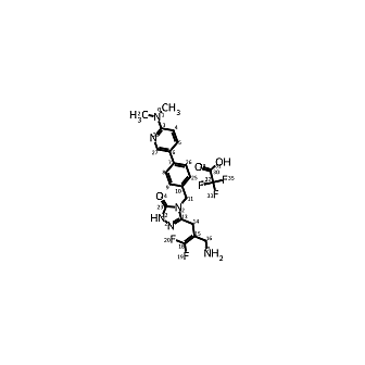 CN(C)c1ccc(-c2ccc(Cn3c(CC(CN)=C(F)F)n[nH]c3=O)cc2)cn1.O=C(O)C(F)(F)F